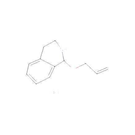 C=CCOC1NCCc2ccccc21.Cl